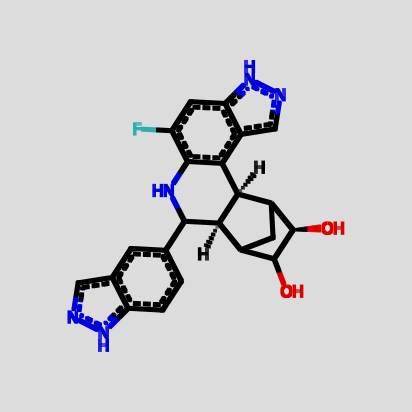 OC1C2CC([C@H]1O)[C@@H]1c3c(c(F)cc4[nH]ncc34)NC(c3ccc4[nH]ncc4c3)[C@H]21